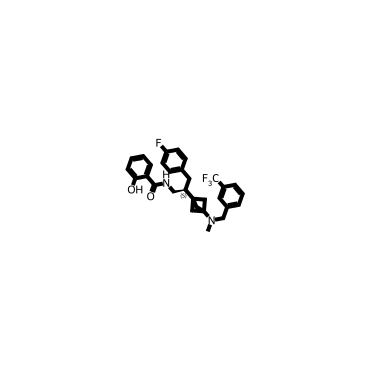 CN(Cc1cccc(C(F)(F)F)c1)C12CC([C@@H](CNC(=O)c3ccccc3O)Cc3ccc(F)cc3)(C1)C2